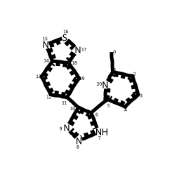 Cc1cccc(-c2[nH]nnc2-c2ccc3nsnc3c2)n1